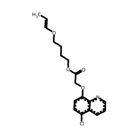 CC=COCCCCOC(=O)COc1ccc(Cl)c2cccnc12